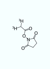 [3H]C([3H])C(=O)ON1C(=O)CCC1=O